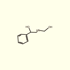 OCNCC(O)c1ccccc1